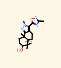 Cc1noc(-c2c3c(nn2C)C2(C)CCC(O)C(C)(C)[C@@H]2CC3)n1